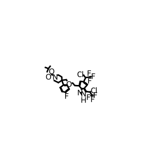 CC(C)(C)OC(=O)N1CCC(COCCc2cc(C(Cl)C(F)(F)F)cc3c(C(Cl)C(F)(F)F)[nH]nc23)(c2ccc(F)cc2)CC1